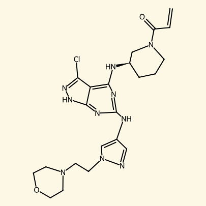 C=CC(=O)N1CCC[C@@H](Nc2nc(Nc3cnn(CCN4CCOCC4)c3)nc3[nH]nc(Cl)c23)C1